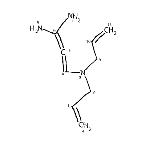 C=CCN(C=C=C(N)N)CC=C